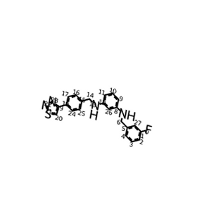 Fc1cccc(CNc2cccc(NCc3ccc(-c4csnn4)cc3)c2)c1